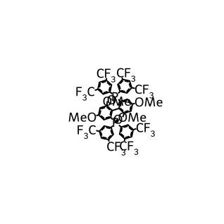 COc1cc(OC)c(-c2c(OC)cc(OC)cc2P(=O)(c2cc(C(F)(F)F)cc(C(F)(F)F)c2)c2cc(C(F)(F)F)cc(C(F)(F)F)c2)c(P(=O)(c2cc(C(F)(F)F)cc(C(F)(F)F)c2)c2cc(C(F)(F)F)cc(C(F)(F)F)c2)c1